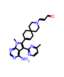 Cc1ccnc(-c2c(C3=CCC4(CC3)CCN(C=CC=O)CC4)n(C)c3ncnc(N)c23)n1